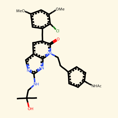 COc1cc(OC)c(Cl)c(-c2cc3cnc(NCC(C)(C)O)nc3n(CCc3ccc(NC(C)=O)cc3)c2=O)c1